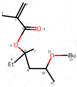 C=C(C)C(=O)OC(C)(CC)CC(C)OC(C)CC